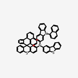 c1ccc2c(c1)Sc1ccc(N(c3ccc4sc5ccccc5c4c3)c3ccc4c5ccccc5n(-c5cccc6ccccc56)c4c3)cc1C21c2ccccc2-c2cccc3cccc1c23